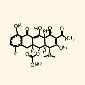 COC(=O)O[C@@H]1[C@H]2[C@H](N(C)C)C(O)=C(C(N)=O)C(=O)[C@@]2(P)C(O)=C2C(=O)c3c(O)ccc(F)c3C[C@H]21